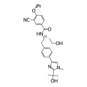 CC(C)Oc1ccc(C(=O)N[C@H](CCO)Cc2ccc(-c3cn(C)c(C(C)(C)O)n3)cc2)cc1C#N